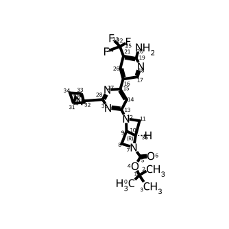 CC(C)(C)OC(=O)N1CC2[C@H]1CN2c1cc(-c2cnc(N)c(C(F)(F)F)c2)nc(N2CC3CC2C3)n1